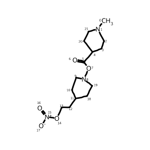 CN1CCC(C(=O)ON2CCC(CCO[N+](=O)[O-])CC2)CC1